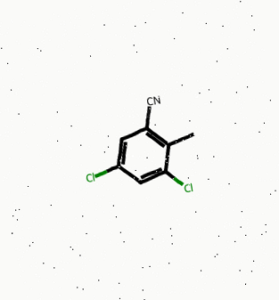 Cc1c(Cl)cc(Cl)cc1C#N